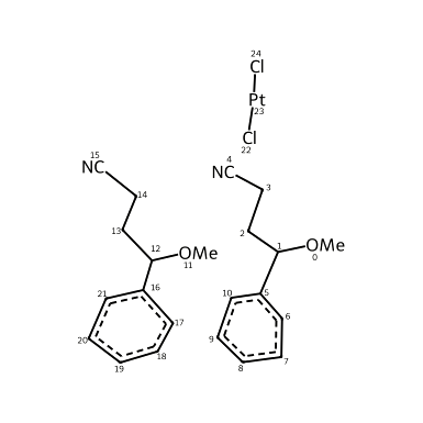 COC(CCC#N)c1ccccc1.COC(CCC#N)c1ccccc1.[Cl][Pt][Cl]